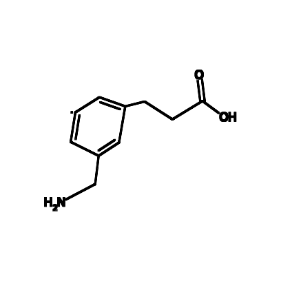 NCc1c[c]cc(CCC(=O)O)c1